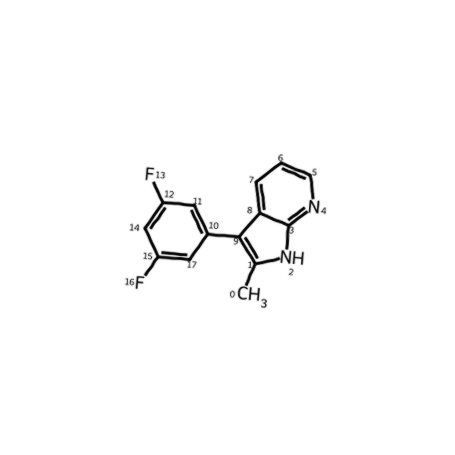 Cc1[nH]c2ncccc2c1-c1cc(F)cc(F)c1